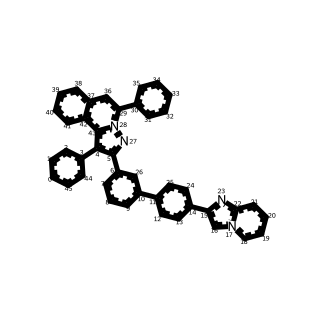 c1ccc(-c2c(-c3cccc(-c4ccc(-c5cn6ccccc6n5)cc4)c3)nn3c(-c4ccccc4)cc4ccccc4c23)cc1